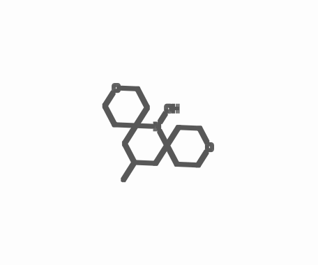 CC1CC2(CCOCC2)N(O)C2(CCOCC2)C1